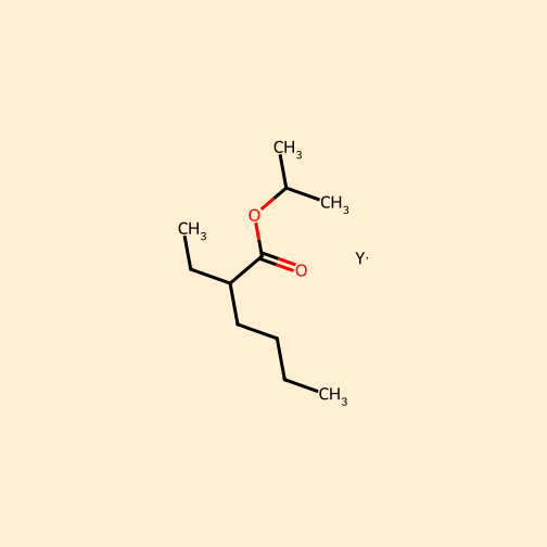 CCCCC(CC)C(=O)OC(C)C.[Y]